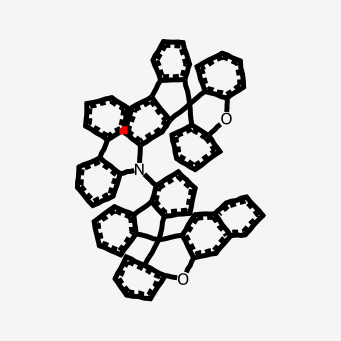 c1ccc(-c2ccccc2N(c2ccc3c(c2)C2(c4ccccc4Oc4ccccc42)c2ccccc2-3)c2cccc3c2-c2ccccc2C32c3ccccc3Oc3cc4ccccc4cc32)cc1